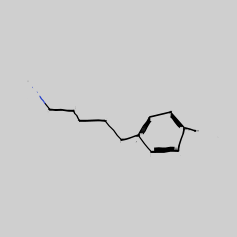 Cc1ccc(CCCCCN)cc1